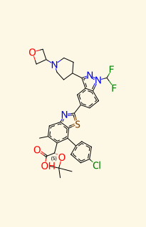 Cc1cc2nc(-c3ccc4c(c3)c(C3CCN(C5COC5)CC3)nn4C(F)F)sc2c(-c2ccc(Cl)cc2)c1[C@H](OC(C)(C)C)C(=O)O